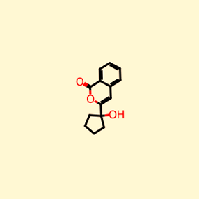 O=c1oc(C2(O)CCCC2)cc2ccccc12